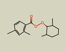 Cc1ccc(C(=O)OO[C]2C(C)CCCC2C)c(C)c1